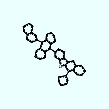 c1ccc(-c2c3ccccc3cc3c2oc2cc(-c4c5ccccc5c(-c5ccc6ccccc6c5)c5ccccc45)ccc23)cc1